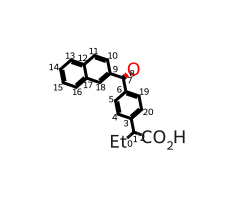 CCC(C(=O)O)c1ccc(C(=O)c2ccc3ccccc3c2)cc1